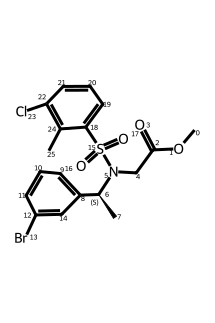 COC(=O)CN([C@@H](C)c1cccc(Br)c1)S(=O)(=O)c1cccc(Cl)c1C